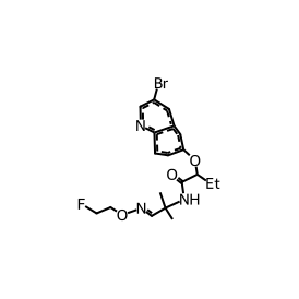 CCC(Oc1ccc2ncc(Br)cc2c1)C(=O)NC(C)(C)C=NOCCF